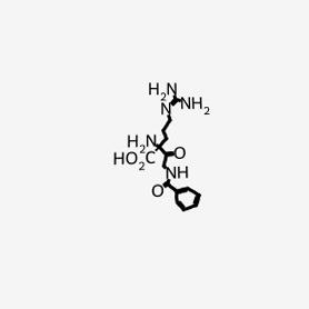 NC(N)=NCCC[C@](N)(C(=O)O)C(=O)CNC(=O)c1ccccc1